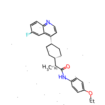 CCOc1ccc(NC(=O)[C@H](C)[C@H]2CC[C@@H](c3ccnc4ccc(F)cc43)CC2)cc1